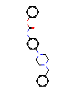 O=C(Nc1ccc(N2CCN(Cc3ccccc3)CC2)cc1)Oc1ccccc1